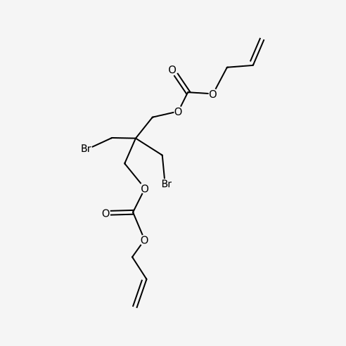 C=CCOC(=O)OCC(CBr)(CBr)COC(=O)OCC=C